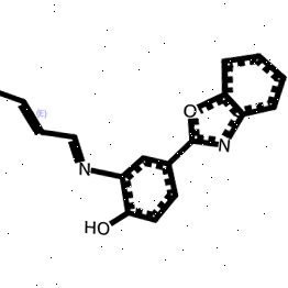 C/C=C/C=Nc1cc(-c2nc3ccccc3o2)ccc1O